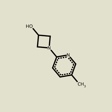 Cc1ccc(N2CC(O)C2)nc1